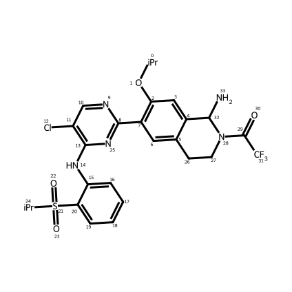 CC(C)Oc1cc2c(cc1-c1ncc(Cl)c(Nc3ccccc3S(=O)(=O)C(C)C)n1)CCN(C(=O)C(F)(F)F)C2N